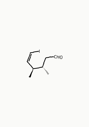 C[C@@H](/C=C\I)[C@@H](C)CC=O